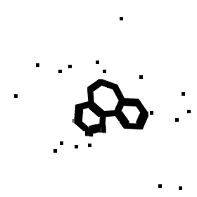 [c]1cc2c(nn1)-c1ccccc1CCC2